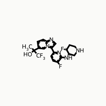 CC(O)(c1ccc2ncc(-c3ccc(F)c(N[C@H]4CNCC[C@@H]4F)n3)n2c1)C(F)(F)F